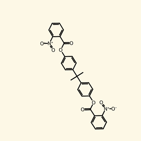 CC(C)(c1ccc(OC(=O)c2ccccc2[N+](=O)[O-])cc1)c1ccc(OC(=O)c2ccccc2[N+](=O)[O-])cc1